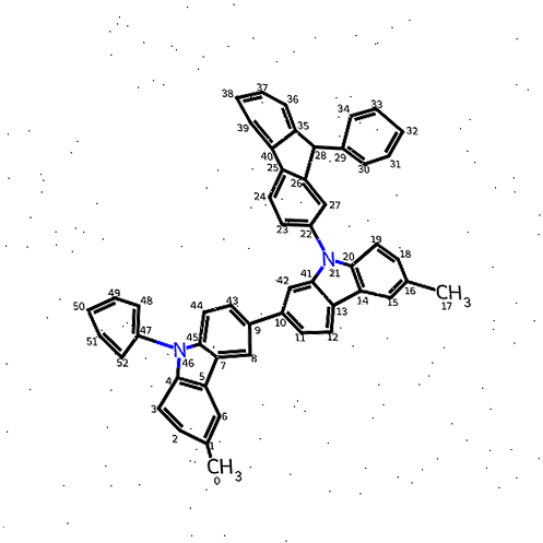 Cc1ccc2c(c1)c1cc(-c3ccc4c5cc(C)ccc5n(-c5ccc6c(c5)C(c5ccccc5)c5ccccc5-6)c4c3)ccc1n2-c1ccccc1